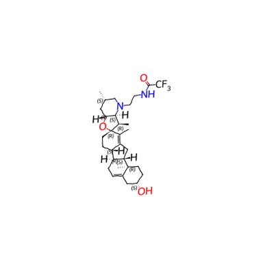 CC1=C2C[C@H]3[C@@H](CC=C4C[C@@H](O)CC[C@@]43C)[C@@H]2CC[C@]12O[C@@H]1C[C@H](C)CN(CCNC(=O)C(F)(F)F)[C@H]1[C@H]2C